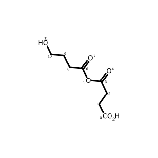 O=C(O)CCC(=O)OC(=O)CCCO